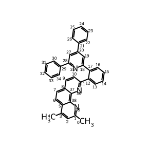 Cc1cc(C)c2ccc3ccc(-c4ccccc4-c4cc(-c5ccccc5)cc(-c5ccccc5)n4)nc3c2n1